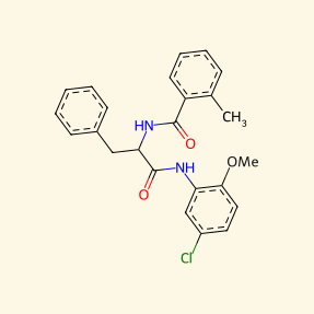 COc1ccc(Cl)cc1NC(=O)C(Cc1ccccc1)NC(=O)c1ccccc1C